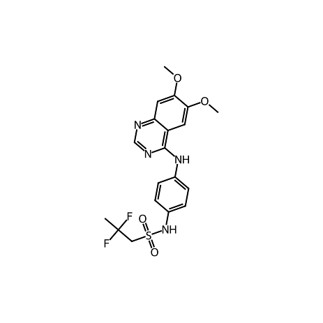 COc1cc2ncnc(Nc3ccc(NS(=O)(=O)CC(C)(F)F)cc3)c2cc1OC